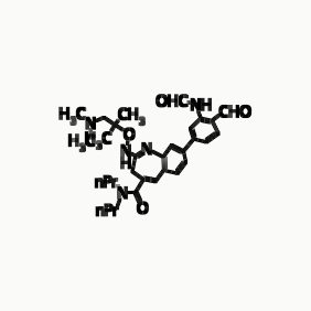 CCCN(CCC)C(=O)C1=Cc2ccc(-c3ccc(C=O)c(NC=O)c3)cc2N=C(NOC(C)(C)CN(C)C)C1